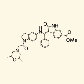 COC(=O)c1ccc2c(c1)NC(=O)/C2=C(\Nc1ccc2c(c1)CCN2C(=O)CN1CC(C)OC(C)C1)c1ccccc1